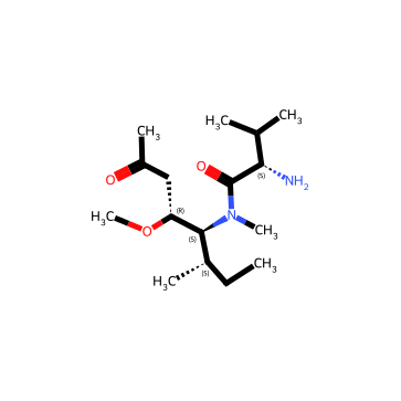 CC[C@H](C)[C@@H]([C@@H](CC(C)=O)OC)N(C)C(=O)[C@@H](N)C(C)C